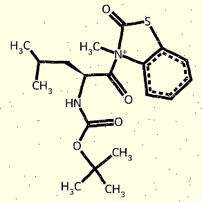 CC(C)C[C@H](NC(=O)OC(C)(C)C)C(=O)[N+]1(C)C(=O)Sc2ccccc21